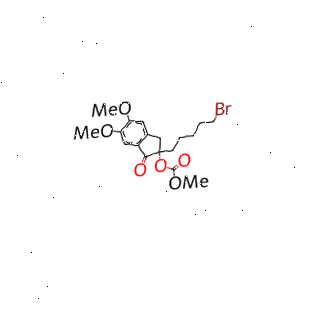 COC(=O)OC1(CCCCCBr)Cc2cc(OC)c(OC)cc2C1=O